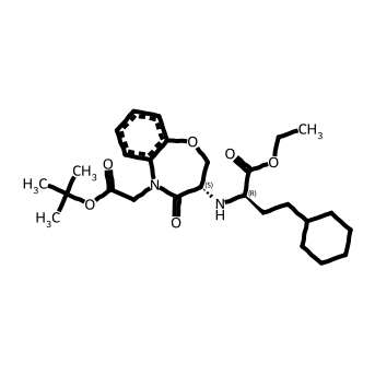 CCOC(=O)[C@@H](CCC1CCCCC1)N[C@H]1COc2ccccc2N(CC(=O)OC(C)(C)C)C1=O